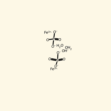 O.O.O=P([O-])([O-])[O-].O=S(=O)([O-])[O-].[Fe+3].[Fe+3].[OH-]